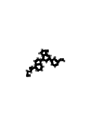 Cc1cccc(-c2nc(-n3ccc4c(NCCO)nccc43)c3nc[nH]c3n2)n1